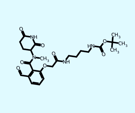 CN(C(=O)c1c(C=O)cccc1OCC(=O)NCCCCNC(=O)OC(C)(C)C)C1CCC(=O)NC1=O